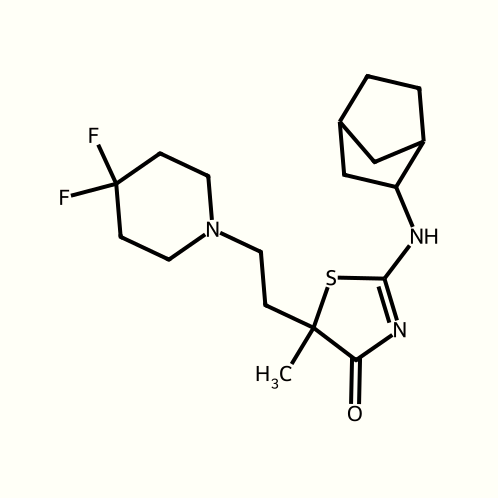 CC1(CCN2CCC(F)(F)CC2)SC(NC2CC3CCC2C3)=NC1=O